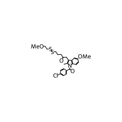 COCCSSCCCC(=O)Cc1c(C)n(C(=O)c2ccc(Cl)cc2)c2ccc(OC)cc12